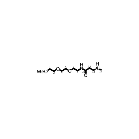 COCCOCCOCCNC(=O)C[CH2][AlH][CH3]